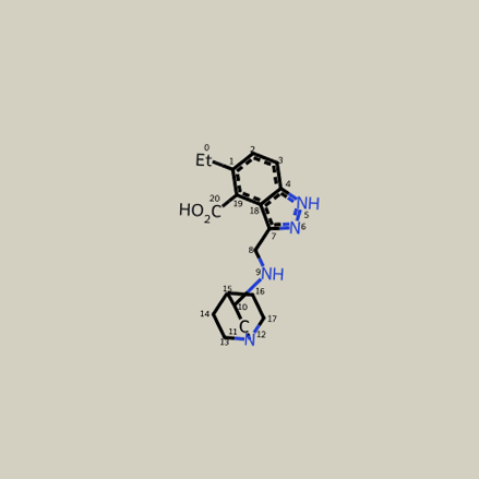 CCc1ccc2[nH]nc(CNC3CN4CCC3CC4)c2c1C(=O)O